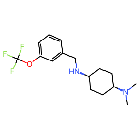 CN(C)[C@H]1CC[C@@H](NCc2cccc(OC(F)(F)F)c2)CC1